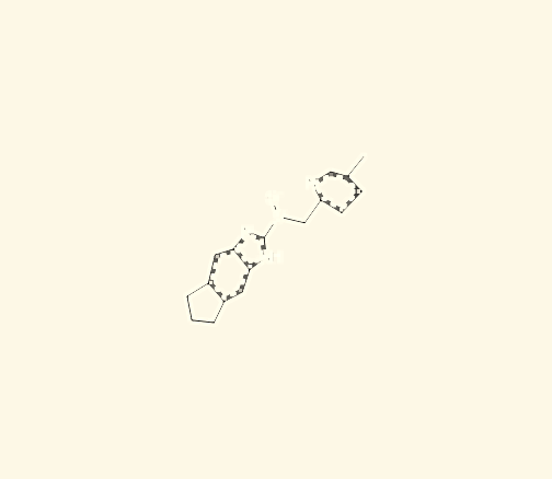 Cc1ccc(C[S+]([O-])c2nc3cc4c(cc3[nH]2)CCC4)nc1